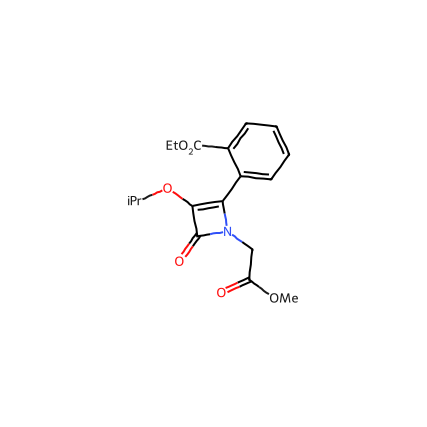 CCOC(=O)c1ccccc1C1=C(OC(C)C)C(=O)N1CC(=O)OC